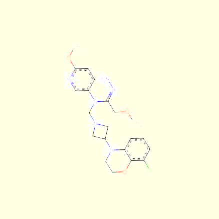 COC/C(=N/N)N(CN1CC(N2CCOc3c(F)cccc32)C1)c1ccc(OC)nc1